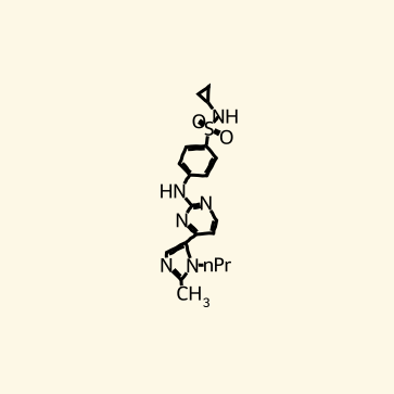 CCCn1c(-c2ccnc(Nc3ccc(S(=O)(=O)NC4CC4)cc3)n2)cnc1C